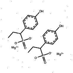 CCC(c1ccc(O)cc1)P(=O)([O-])[O-].CCC(c1ccc(O)cc1)P(=O)([O-])[O-].[Mg+2].[Mg+2]